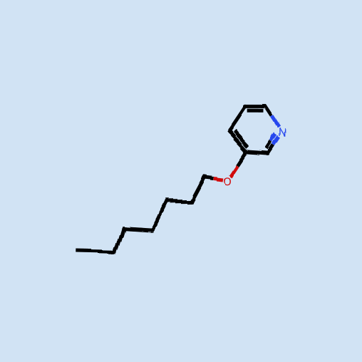 CCCCCCCOc1cccnc1